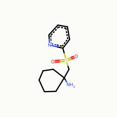 NC1(CS(=O)(=O)c2ccccn2)CCCCC1